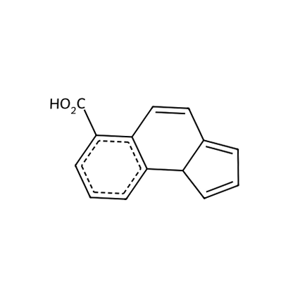 O=C(O)c1cccc2c1C=CC1=CC=CC12